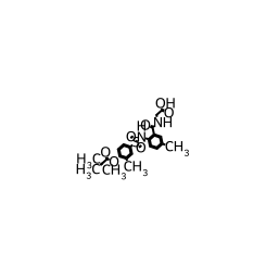 Cc1ccc(NS(=O)(=O)c2ccc(OC(=O)C(C)(C)C)c(C)c2)c(C(=O)NCC(=O)O)c1